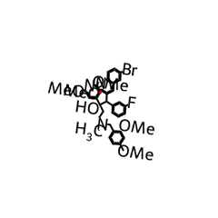 COc1ccc(CN(C)CCC(O)(c2cc(OC)nc(OC)c2)C(c2cccc(F)c2)c2cc3cc(Br)ccc3nc2OC)c(OC)c1